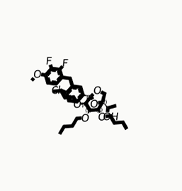 CCCCO[C@@H]1[C@@H](OCCCC)[C@@]2(c3ccc(Cl)c(Cc4ccc(OC)c(F)c4F)c3)OC[C@](C(C)O)(O2)[C@H]1OCCCC